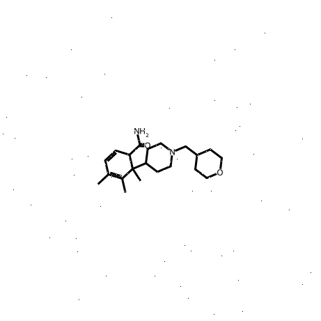 CC1=C(C)C(C)(C2CCN(CC3CCOCC3)CC2)C(C(N)=O)C=C1